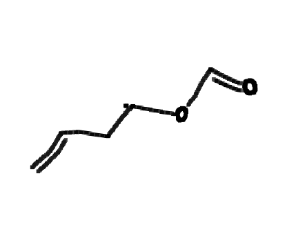 C=CC[CH]OC=O